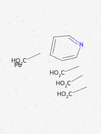 CC(=O)O.CC(=O)O.CC(=O)O.CC(=O)O.[Pb].c1ccncc1